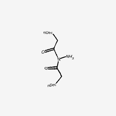 CCCCCCCCCCCC(=O)N(N)C(=O)CCCCCCCCCCC